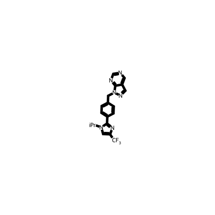 CC(C)n1cc(C(F)(F)F)nc1-c1ccc(Cn2ncc3cncnc32)cc1